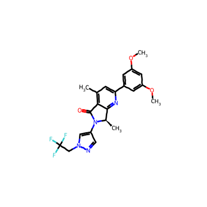 COc1cc(OC)cc(-c2cc(C)c3c(n2)[C@@H](C)N(c2cnn(CC(F)(F)F)c2)C3=O)c1